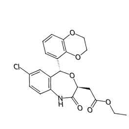 CCOC(=O)C[C@@H]1O[C@@H](c2cccc3c2OCCO3)c2cc(Cl)ccc2NC1=O